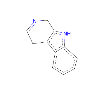 C1=NCc2[nH]c3ccccc3c2C1